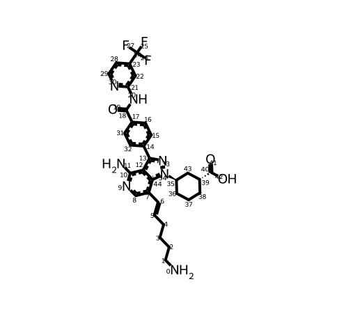 NCCCC/C=C/c1cnc(N)c2c(-c3ccc(C(=O)Nc4cc(C(F)(F)F)ccn4)cc3)nn([C@@H]3CCC[C@@H](C(=O)O)C3)c12